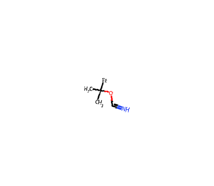 CCC(C)(C)OC=N